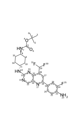 CC(C)(C)OC(=O)N[C@H]1CC[C@H](Nc2ncc3nc(-c4ccc(N)c(F)c4)cc(C(F)F)c3n2)CC1